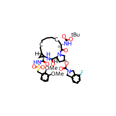 COc1cccc(CS(=O)(=O)NC(=O)[C@@]23C[C@H]2CCCCCCC[C@H](NC(=O)OC(C)(C)C)C(=O)N2C[C@H](OC(=O)N4Cc5cccc(F)c5C4)C[C@H]2C(=O)N3)c1OC